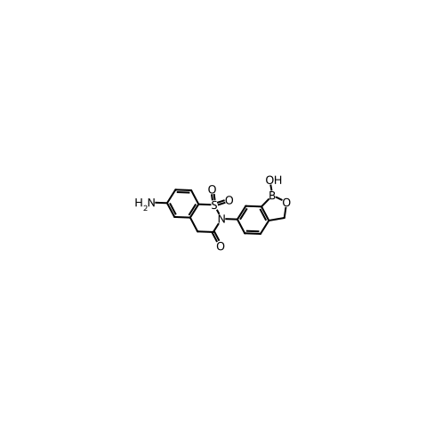 Nc1ccc2c(c1)CC(=O)N(c1ccc3c(c1)B(O)OC3)S2(=O)=O